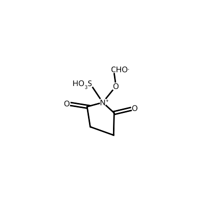 O=[C]O[N+]1(S(=O)(=O)O)C(=O)CCC1=O